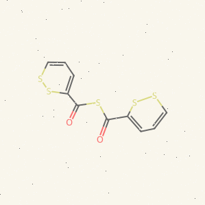 O=C(SC(=O)C1=CC=CSS1)C1=CC=CSS1